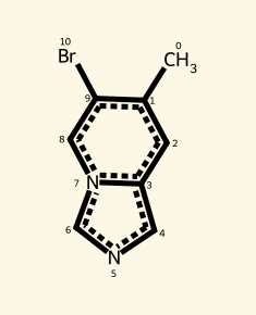 Cc1cc2cncn2cc1Br